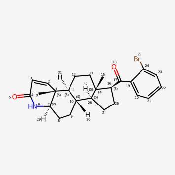 C[C@]12C=CC(=O)N[C@@H]1CC[C@@H]1[C@@H]2CC[C@]2(C)[C@@H](C(=O)c3ccccc3Br)CC[C@@H]12